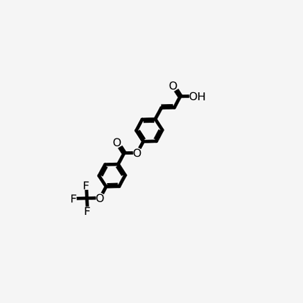 O=C(O)/C=C/c1ccc(OC(=O)c2ccc(OC(F)(F)F)cc2)cc1